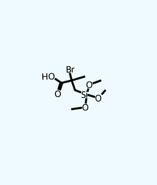 CO[Si](CC(C)(Br)C(=O)O)(OC)OC